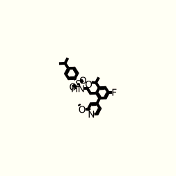 COc1cc(-c2cc(F)cc(C(C)C)c2CC(=O)NS(=O)(=O)c2ccc(C(C)C)cc2)ccn1